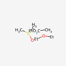 CCOC(C)=O.CCOCC.C[S+](C)[O-]